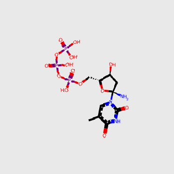 Cc1cn([C@@]2(N)C[C@H](O)[C@@H](COP(=O)(O)OP(=O)(O)OP(=O)(O)O)O2)c(=O)[nH]c1=O